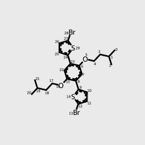 CC(C)CCOc1cc(-c2ccc(Br)s2)c(OCCC(C)C)cc1-c1ccc(Br)s1